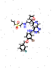 CCCS(=O)(=O)CCNCCC1(c2cc3c(Nc4ccc(OCc5cccc(F)c5)c(Br)c4)ncnc3cn2)CC=CO1